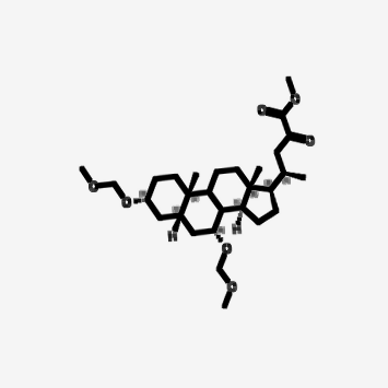 COCO[C@@H]1CC[C@]2(C)C3CC[C@]4(C)[C@@H]([C@H](C)CC(=O)C(=O)OC)CC[C@H]4C3[C@H](OCOC)C[C@@H]2C1